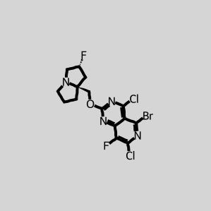 Fc1c(Cl)nc(Br)c2c(Cl)nc(OC[C@@]34CCCN3C[C@H](F)C4)nc12